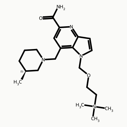 C[C@H]1CCCN(Cc2cc(C(N)=O)nc3ccn(COCC[Si](C)(C)C)c23)C1